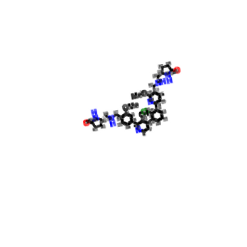 COc1cc(-c2nccc(-c3cccc(-c4ccc(CNC[C@H]5CCC(=O)N5)c(OC)n4)c3Cl)c2C)ccc1CNC[C@@H]1CCC(=O)N1